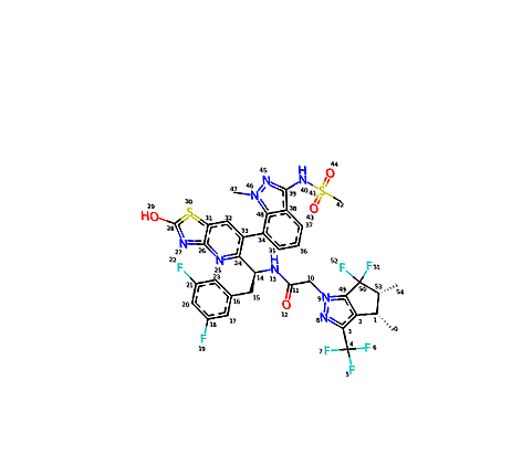 C[C@@H]1c2c(C(F)(F)F)nn(CC(=O)N[C@@H](Cc3cc(F)cc(F)c3)c3nc4nc(O)sc4cc3-c3cccc4c(NS(C)(=O)=O)nn(C)c34)c2C(F)(F)[C@@H]1C